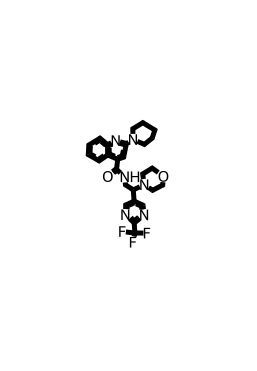 O=C(NCC(c1cnc(C(F)(F)F)nc1)N1CCOCC1)c1cc(N2CCCCC2)nc2ccccc12